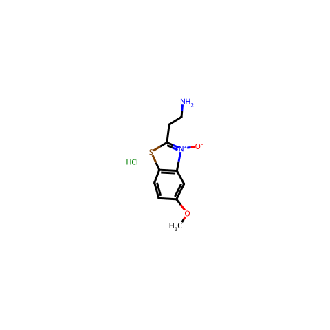 COc1ccc2sc(CCN)[n+]([O-])c2c1.Cl